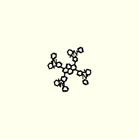 CC12CCCCC1(C)N(c1ccccc1)c1ccc(-c3cc(-c4ccc5c(c4)C4(C)CCCCC4(C)N5c4ccccc4)c4ccc5c(-c6ccc7c(c6)C6(C)CCCCC6(C)N7c6ccccc6)cc(-c6ccc7c(c6)C6(C)CCCCC6(C)N7c6ccccc6)c6ccc3c4c65)cc12